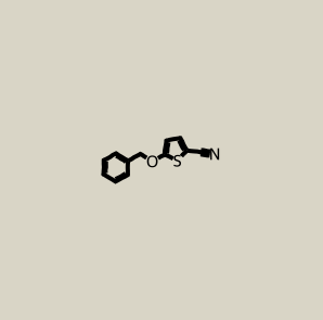 N#Cc1ccc(OCc2ccccc2)s1